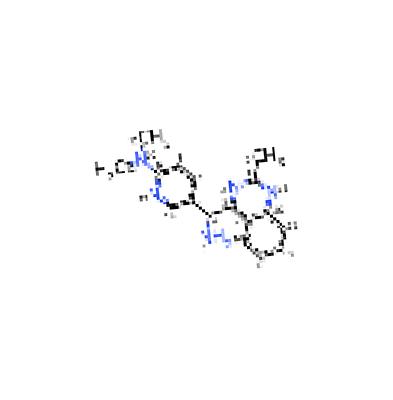 Cc1nc(C(N)c2ccc(N(C)C)nc2)c2ccccc2n1